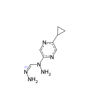 N/N=C\N(N)c1cnc(C2CC2)cn1